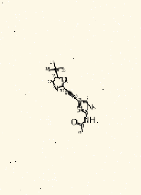 CC(=O)Nc1ncc(C#Cc2ncc(C(C)(C)C)o2)s1